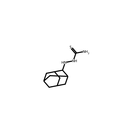 NC(=S)NNC1C2CC3CC(C2)CC1C3